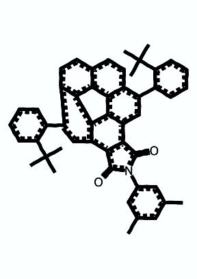 Cc1cc(C)cc(-n2c(=O)c3c4cc(-c5ccccc5C(C)(C)C)c5ccc6ccc7c(-c8ccccc8C(C)(C)C)cc(c3c2=O)c2c7c6c5c42)c1